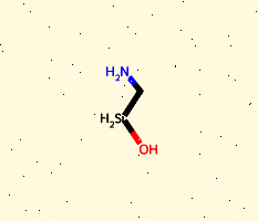 NC[SiH2]O